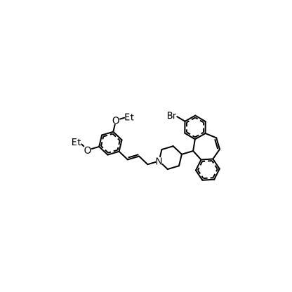 CCOc1cc(C=CCN2CCC(C3c4ccccc4C=Cc4ccc(Br)cc43)CC2)cc(OCC)c1